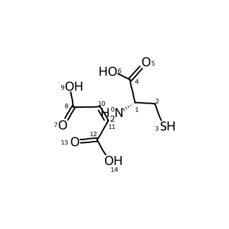 N[C@@H](CS)C(=O)O.O=C(O)/C=C\C(=O)O